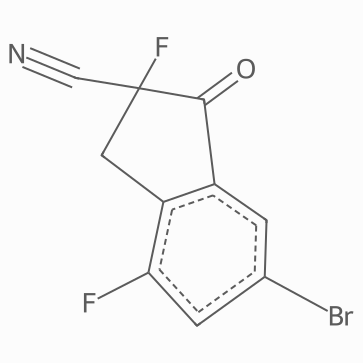 N#CC1(F)Cc2c(F)cc(Br)cc2C1=O